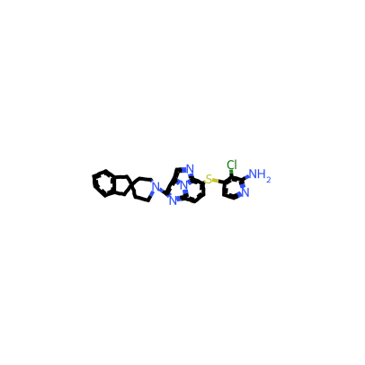 Nc1nccc(Sc2ccc3nc(N4CCC5(CC4)Cc4ccccc4C5)c4cnc2n34)c1Cl